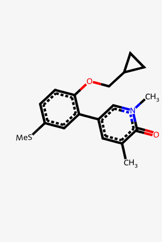 CSc1ccc(OCC2CC2)c(-c2cc(C)c(=O)n(C)c2)c1